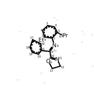 CCc1cccc(C(C)C)c1/N=C(/C1=NCCO1)c1ccccc1